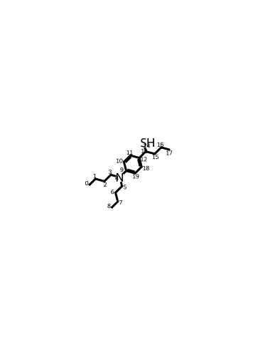 CCCCN(CCCC)c1ccc(C(S)CCC)cc1